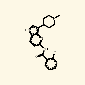 CN1CCC(c2c[nH]c3ccc(NC(=O)c4cccnc4Cl)nc23)CC1